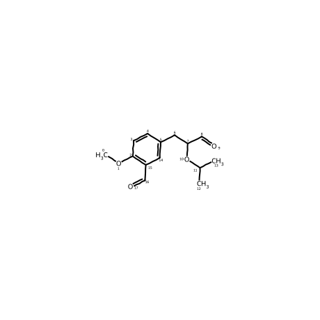 COc1ccc(CC(C=O)OC(C)C)cc1C=O